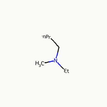 CC[CH]CN(C)CC